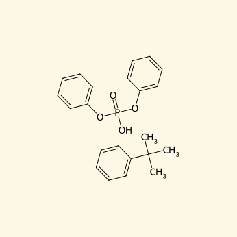 CC(C)(C)c1ccccc1.O=P(O)(Oc1ccccc1)Oc1ccccc1